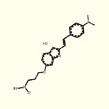 CCN(CC)CCCOc1ccc2cc(/C=C/c3ccc(N(C)C)cc3)oc2c1.Cl